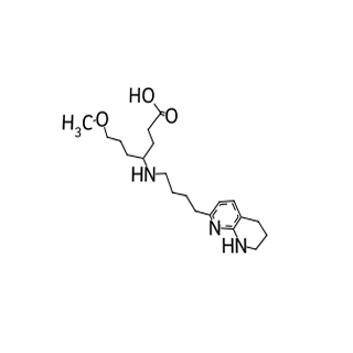 COCCCC(CCC(=O)O)NCCCCc1ccc2c(n1)NCCC2